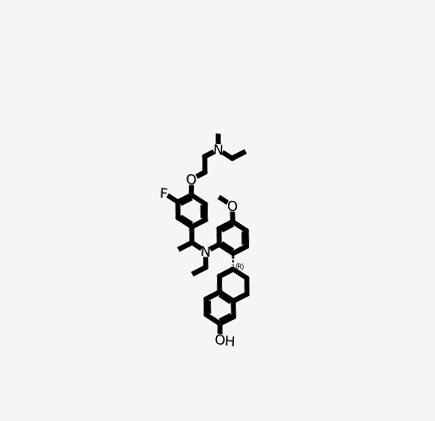 CCN(C)CCOc1ccc(C(C)N(CC)c2cc(OC)ccc2[C@@H]2CCc3cc(O)ccc3C2)cc1F